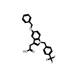 O=C(O)Cc1cn(Cc2ccc(C(F)(F)F)cc2)c2ccc(OCc3ccccc3)cc12